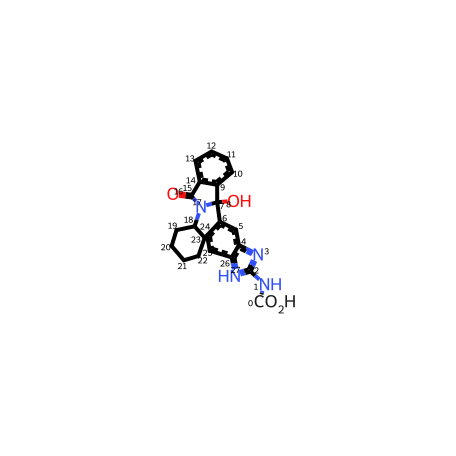 O=C(O)Nc1nc2cc(C3(O)c4ccccc4C(=O)N3C3CCCCC3)ccc2[nH]1